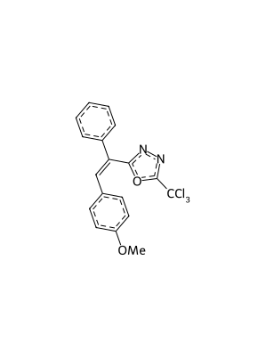 COc1ccc(C=C(c2ccccc2)c2nnc(C(Cl)(Cl)Cl)o2)cc1